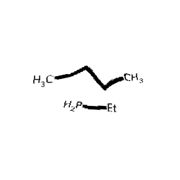 CCCC.CCP